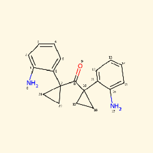 Nc1ccccc1C1(C(=O)C2(c3ccccc3N)CC2)CC1